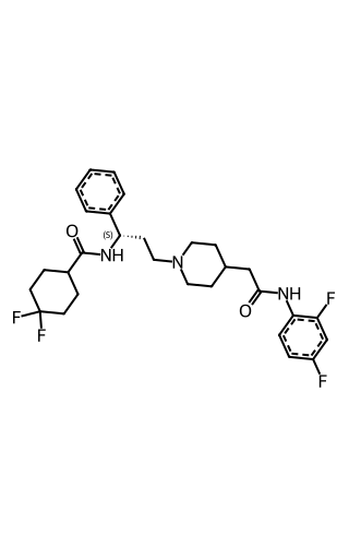 O=C(CC1CCN(CC[C@H](NC(=O)C2CCC(F)(F)CC2)c2ccccc2)CC1)Nc1ccc(F)cc1F